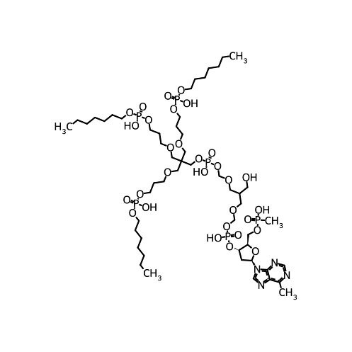 CCCCCCCOP(=O)(O)OCCCOCC(COCCCOP(=O)(O)OCCCCCCC)(COCCCOP(=O)(O)OCCCCCCC)COP(=O)(O)OCOCC(CO)COCOP(=O)(O)O[C@H]1C[C@H](n2cnc3c(C)ncnc32)O[C@@H]1COP(C)(=O)O